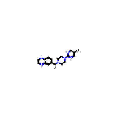 CC(c1ccc2nccnc2c1)N1CCN(c2ncc(C(F)(F)F)cn2)CC1